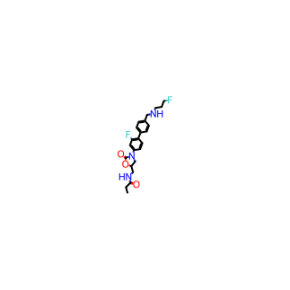 CCC(=O)NCC1CN(c2ccc(-c3ccc(CNCCCF)cc3)c(F)c2)C(=O)O1